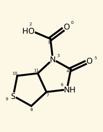 O=C(O)N1C(=O)NC2CSCC21